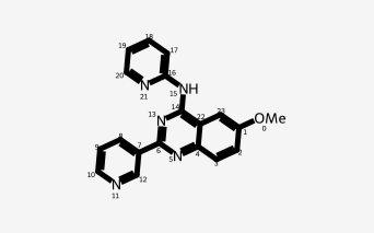 COc1ccc2nc(-c3cccnc3)nc(Nc3ccccn3)c2c1